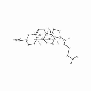 CC(C)CCC[C@@H](C)[C@H]1CC[C@H]2[C@@H]3CC=C4C[C@H](C#N)CC[C@]4(C)[C@H]3CC[C@]12C